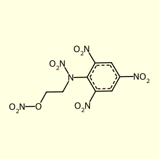 O=[N+]([O-])OCCN(c1c([N+](=O)[O-])cc([N+](=O)[O-])cc1[N+](=O)[O-])[N+](=O)[O-]